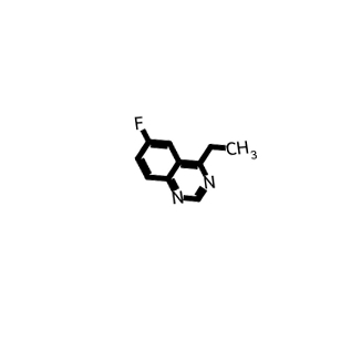 CCc1ncnc2ccc(F)cc12